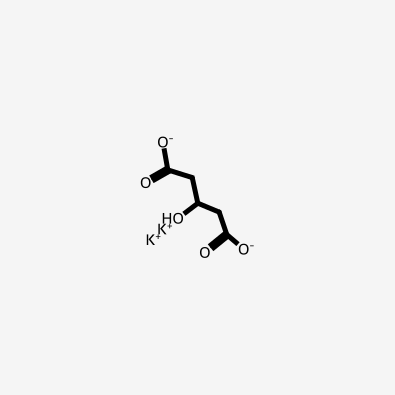 O=C([O-])CC(O)CC(=O)[O-].[K+].[K+]